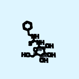 OC[C@H]1O[C@@H](NC(=S)NCc2ccccc2)[C@H](O)[C@@H](O)[C@@H]1O